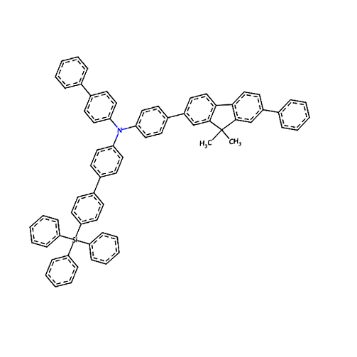 CC1(C)c2cc(-c3ccccc3)ccc2-c2ccc(-c3ccc(N(c4ccc(-c5ccccc5)cc4)c4ccc(-c5ccc([Si](c6ccccc6)(c6ccccc6)c6ccccc6)cc5)cc4)cc3)cc21